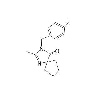 CC1=NC2(CCCC2)C(=O)N1Cc1ccc(I)cc1